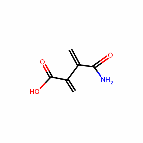 C=C(C(=C)C(=O)O)C(N)=O